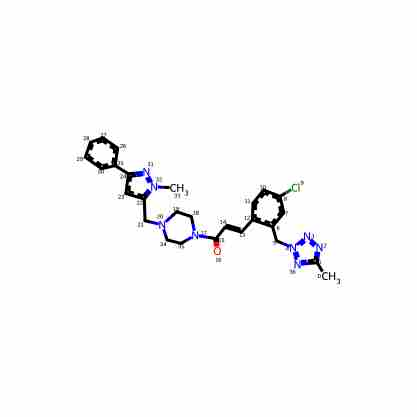 Cc1nnn(Cc2cc(Cl)ccc2C=CC(=O)N2CCN(Cc3cc(-c4ccccc4)nn3C)CC2)n1